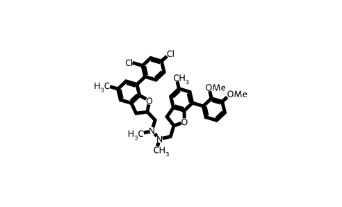 COc1cccc(-c2cc(C)cc3c2OC(CN(C)N(C)CC2Cc4cc(C)cc(-c5ccc(Cl)cc5Cl)c4O2)C3)c1OC